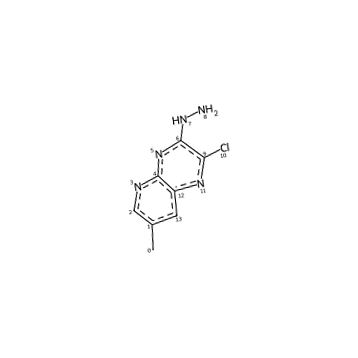 Cc1cnc2nc(NN)c(Cl)nc2c1